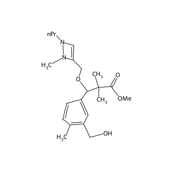 CCCn1cc(COC(c2ccc(C)c(CO)c2)C(C)(C)C(=O)OC)n1C